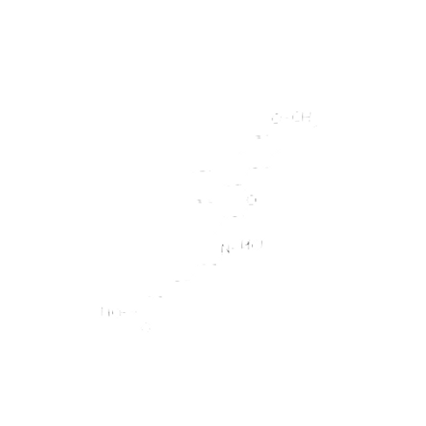 COc1ccc(C(OC2CCN(CCCCCCC(=O)O)CC2)c2ccccc2)cc1.Cl